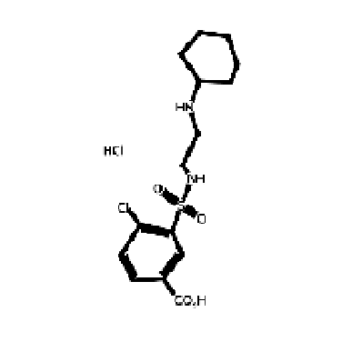 Cl.O=C(O)c1ccc(Cl)c(S(=O)(=O)NCCNC2CCCCC2)c1